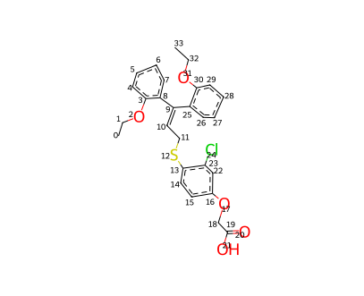 CCOc1ccccc1C(=CCSc1ccc(OCC(=O)O)cc1Cl)c1ccccc1OCC